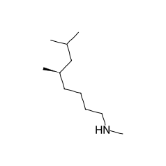 CNCCCC[C@@H](C)CC(C)C